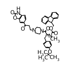 CN(C(=O)OCC1c2ccccc2-c2ccccc21)[C@@H](Cc1ccc(OC(C)(C)C)cc1)C(=O)N1CCN(CCC(=O)c2ccc3[nH]c(=O)oc3c2)CC1